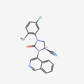 Cc1ccc(Cl)cc1N1C[C@@H](C#N)N(c2cncc3ccccc23)C1=O